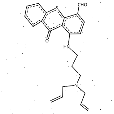 C=CCN(CC=C)CCCNc1ccc(C=O)c2sc3ccccc3c(=O)c12